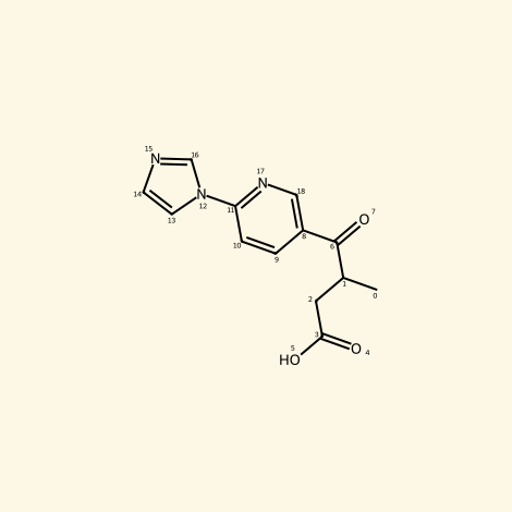 CC(CC(=O)O)C(=O)c1ccc(-n2ccnc2)nc1